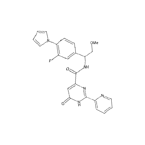 COCC(NC(=O)c1cc(=O)[nH]c(-c2ccccn2)n1)c1ccc(-n2cccc2)c(F)c1